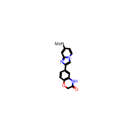 CNc1ccn2cc(-c3ccc4c(c3)NC(=O)CO4)nc2c1